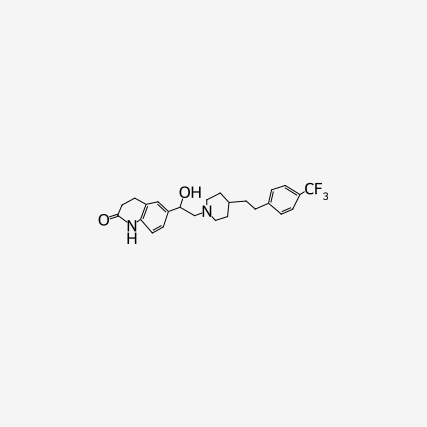 O=C1CCc2cc(C(O)CN3CCC(CCc4ccc(C(F)(F)F)cc4)CC3)ccc2N1